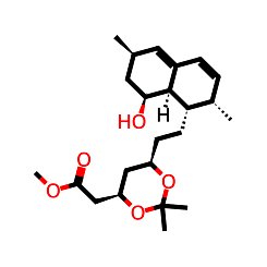 COC(=O)C[C@H]1C[C@@H](CC[C@@H]2[C@@H]3C(=C[C@H](C)C[C@@H]3O)C=C[C@@H]2C)OC(C)(C)O1